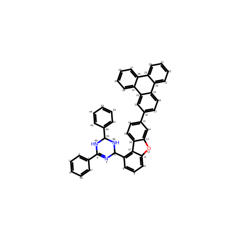 c1ccc(C2=NC(c3cccc4oc5cc(-c6ccc7c8ccccc8c8ccccc8c7c6)ccc5c34)NC(c3ccccc3)N2)cc1